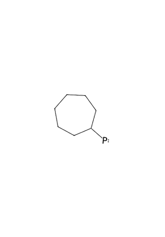 [P]C1CCCCCC1